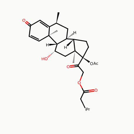 CC(=O)O[C@]1(C(=O)COC(=O)CC(C)C)CC[C@H]2[C@@H]3C[C@H](C)C4=CC(=O)C=C[C@]4(C)[C@H]3[C@@H](O)C[C@@]21C